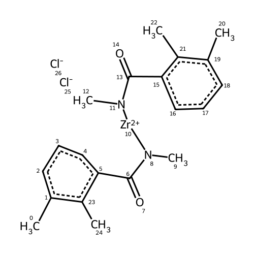 Cc1cccc(C(=O)[N](C)[Zr+2][N](C)C(=O)c2cccc(C)c2C)c1C.[Cl-].[Cl-]